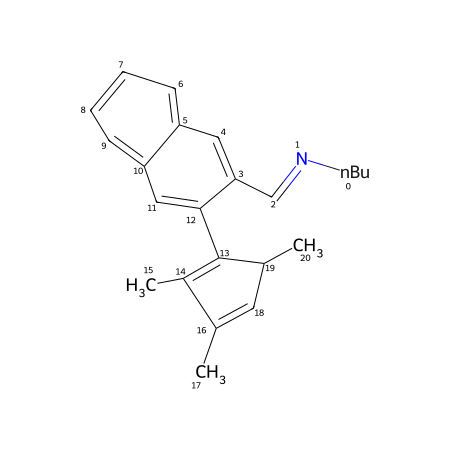 CCCCN=Cc1cc2ccccc2cc1C1=C(C)C(C)=CC1C